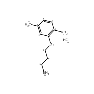 Cc1ccc([N+](=O)[O-])c(OCCCN)c1.Cl